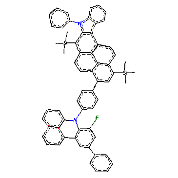 C[Si](C)(C)c1cc(-c2ccc(N(c3ccccc3)c3c(F)cc(-c4ccccc4)cc3-c3ccccc3)cc2)c2ccc3c([Si](C)(C)C)c4c(c5ccc1c2c35)c1ccccc1n4-c1ccccc1